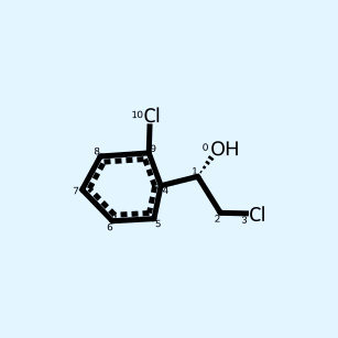 O[C@H](CCl)c1ccccc1Cl